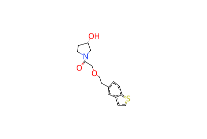 O=C(COCCc1ccc2sccc2c1)N1CC[C@H](O)C1